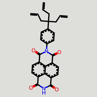 C=CCC(CC=C)(CC=C)c1ccc(N2C(=O)c3ccc4c5c(ccc(c35)C2=O)C(=O)NC4=O)cc1